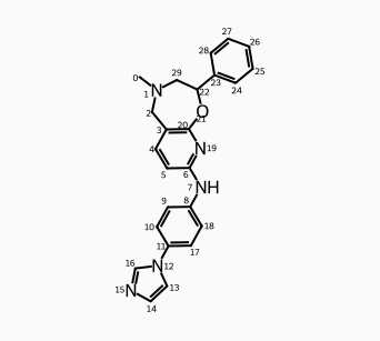 CN1Cc2ccc(Nc3ccc(-n4ccnc4)cc3)nc2OC(c2ccccc2)C1